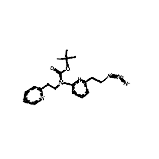 CC(C)(C)OC(=O)N(CCc1ccccn1)c1cccc(CCN=[N+]=[N-])n1